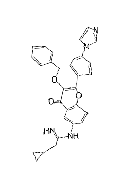 N=C(CC1CC1)Nc1ccc2oc(-c3ccc(-n4ccnc4)cc3)c(OCc3ccccc3)c(=O)c2c1